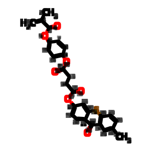 C=C(C)C(=O)Oc1ccc(OC(=O)CCC(=O)Oc2ccc3c(=O)c4cc(C)ccc4sc3c2)cc1